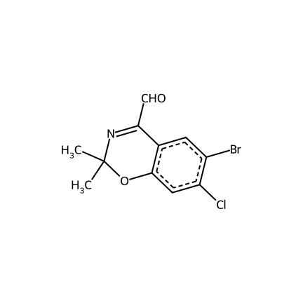 CC1(C)N=C(C=O)c2cc(Br)c(Cl)cc2O1